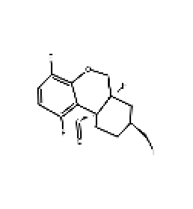 O=C[C@@]12CC[C@H](CI)C[C@@H]1COc1c(F)ccc(F)c12